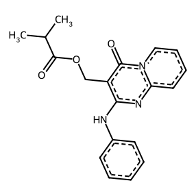 CC(C)C(=O)OCc1c(Nc2ccccc2)nc2ccccn2c1=O